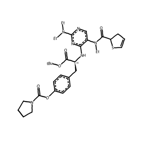 CCN(CC)c1ncc(N(CC)C(=O)C2CC=CS2)c(N[C@@H](Cc2ccc(OC(=O)N3CCCC3)cc2)C(=O)OC(C)(C)C)n1